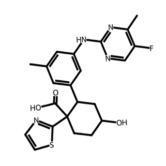 Cc1cc(Nc2ncc(F)c(C)n2)cc(C2CC(O)CCC2(C(=O)O)c2nccs2)c1